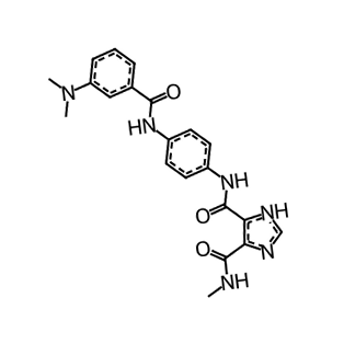 CNC(=O)c1nc[nH]c1C(=O)Nc1ccc(NC(=O)c2cccc(N(C)C)c2)cc1